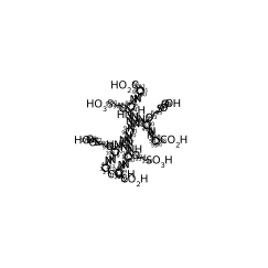 O=C(O)c1cccc(N=Nc2ccc(Nc3nc(Nc4ccc(N=Nc5cccc(C(=O)O)c5)cc4OCCCS(=O)(=O)O)nc(N4CCN(c5nc(Nc6ccc(N=Nc7cccc(C(=O)O)c7)cc6OCCCSOOO)nc(Nc6ccc(N=Nc7cccc(C(=O)O)c7)cc6OCCCS(=O)(=O)O)n5)CC4)n3)c(OCCCSOOO)c2)c1